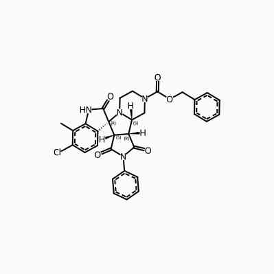 Cc1c(Cl)ccc2c1NC(=O)[C@@]21[C@H]2C(=O)N(c3ccccc3)C(=O)[C@H]2[C@H]2CN(C(=O)OCc3ccccc3)CCN21